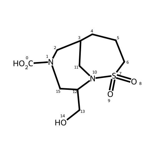 O=C(O)N1CC2CCCS(=O)(=O)N(C2)C(CO)C1